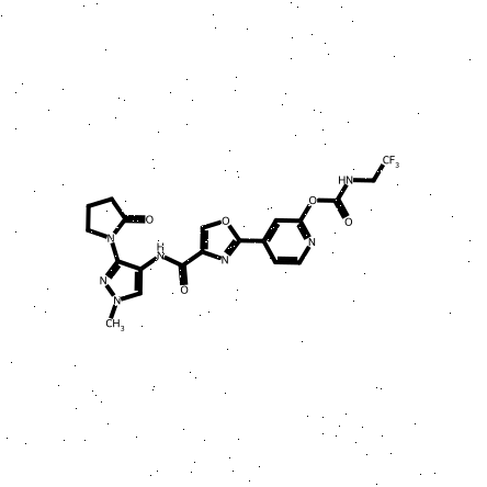 Cn1cc(NC(=O)c2coc(-c3ccnc(OC(=O)NCC(F)(F)F)c3)n2)c(N2CCCC2=O)n1